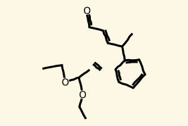 C=C.CC(/C=C/C=O)c1ccccc1.CCOC(C)OCC